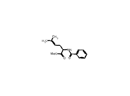 COC(=O)C(CC=C(C)C)NC(=O)c1ccccc1